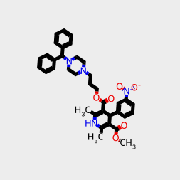 COC(=O)C1=C(C)NC(C)=C(C(=O)OCCCN2CCN(C(c3ccccc3)c3ccccc3)CC2)C1c1cccc([N+](=O)[O-])c1